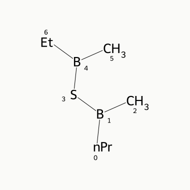 CCCB(C)SB(C)CC